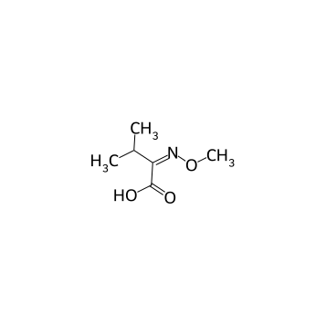 CON=C(C(=O)O)C(C)C